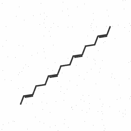 CC=CCCC=CCCC=CCCC=CC